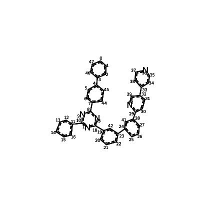 c1ccc(-c2ccc(-c3nc(-c4ccccc4)nc(-c4cccc(-c5cccc(-c6ccc(-c7ccncc7)cn6)c5)c4)n3)cc2)cc1